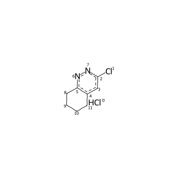 Cl.Clc1cc2c(nn1)CCCC2